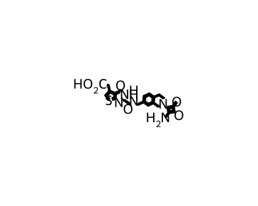 Nc1c(N2CCc3ccc(CNC(=O)c4nc5scc(CC(=O)O)c5c(=O)[nH]4)cc3C2)c(=O)c1=O